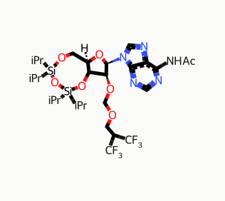 CC(=O)Nc1ncnc2c1ncn2[C@@H]1O[C@@H]2CO[Si](C(C)C)(C(C)C)O[Si](C(C)C)(C(C)C)OC2[C@@H]1OCOCC(C(F)(F)F)C(F)(F)F